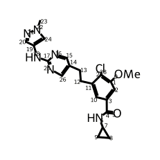 COc1cc(C(=O)NC2CC2)cc(CCc2cnc(Nc3cnn(C)c3)nc2)c1Cl